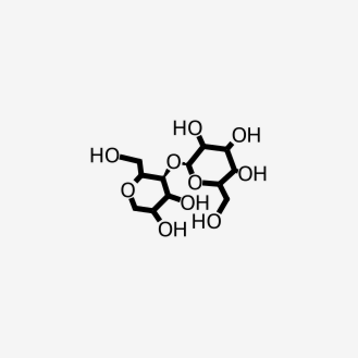 OCC1O[C@H](O[C@@H]2C(CO)OCC(O)C2O)C(O)C(O)[C@H]1O